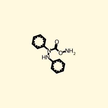 NOC(=O)N(Nc1ccccc1)c1ccccc1